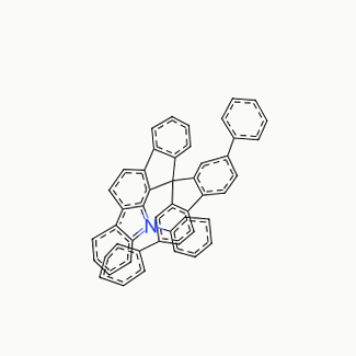 c1ccc(-c2ccc3c(c2)C2(c4cc(-c5ccccc5)ccc4-3)c3ccccc3-c3ccc4c5ccccc5n(-c5ccccc5)c4c32)cc1